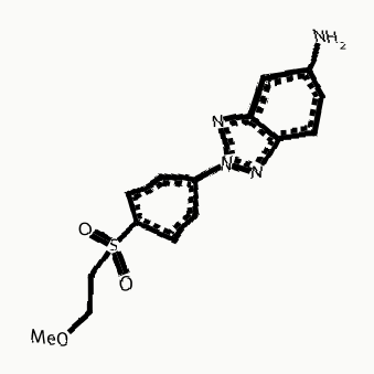 COCCS(=O)(=O)c1ccc(-n2nc3ccc(N)cc3n2)cc1